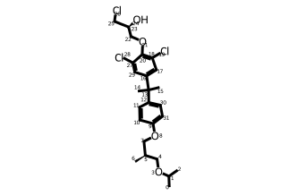 CC(C)OC[C@@H](C)COc1ccc(C(C)(C)c2cc(Cl)c(OC[C@H](O)CCl)c(Cl)c2)cc1